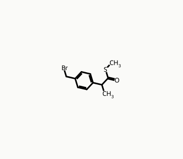 CSC(=O)C(C)c1ccc(CBr)cc1